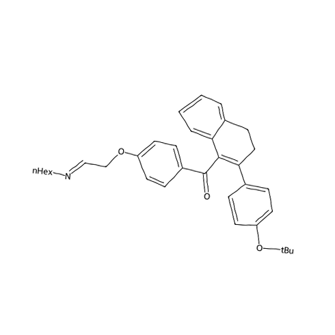 CCCCCCN=CCOc1ccc(C(=O)C2=C(c3ccc(OC(C)(C)C)cc3)CCc3ccccc32)cc1